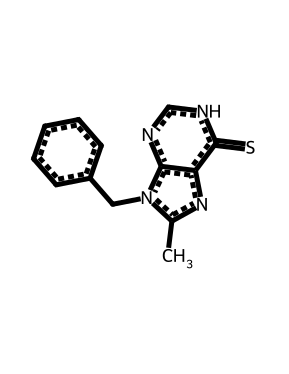 Cc1nc2c(=S)[nH]cnc2n1Cc1ccccc1